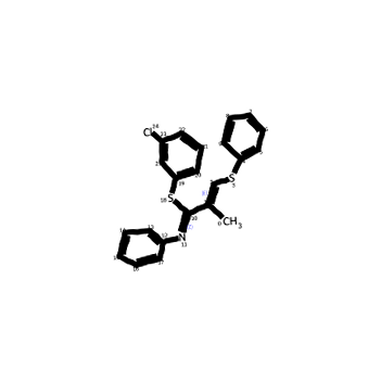 CC(=C\Sc1ccccc1)/C(=N/c1ccccc1)Sc1cccc(Cl)c1